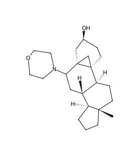 C[C@@]12CCC[C@H]1[C@@H]1CC(N3CCOCC3)[C@]34C[C@@H](O)CC[C@]3(C4)[C@H]1CC2